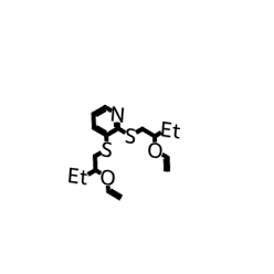 C=COC(CC)CSc1cccnc1SCC(CC)OC=C